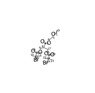 C=COCCOC(=O)C(COC(=O)C(C)(C)Br)COC(=O)C(C)(C)Br